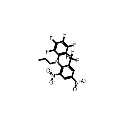 CCCN(c1c([N+](=O)[O-])cc([N+](=O)[O-])cc1C(F)(F)F)c1c(F)c(F)c(F)c(F)c1F